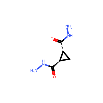 NNC(=O)[C@@H]1C[C@H]1C(=O)NN